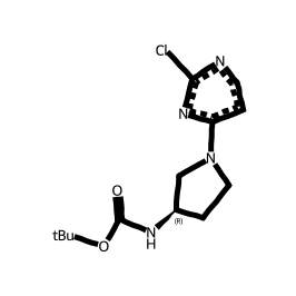 CC(C)(C)OC(=O)N[C@@H]1CCN(c2ccnc(Cl)n2)C1